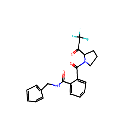 O=C(NCc1ccccc1)c1ccccc1C(=O)N1CCCC1C(=O)C(F)(F)F